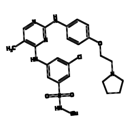 Cc1cnc(Nc2ccc(OCCN3CCCC3)cc2)nc1Nc1cc(Cl)cc(S(=O)(=O)NC(C)(C)C)c1